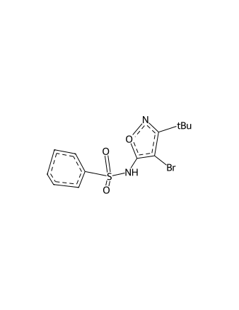 CC(C)(C)c1noc(NS(=O)(=O)c2ccccc2)c1Br